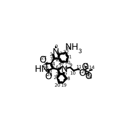 Cn1cc(C2=C(c3cn(CCCOS(C)(=O)=O)c4ccccc34)C(=O)NC2=O)c2ccccc21.N